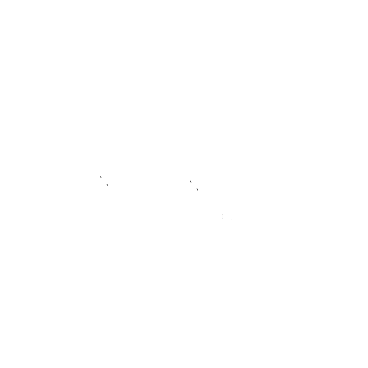 CC[N+]1([O-])CC[N]CC1